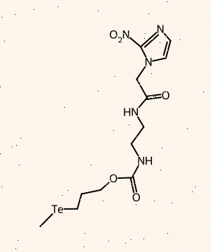 C[Te]CCCOC(=O)NCCNC(=O)Cn1ccnc1[N+](=O)[O-]